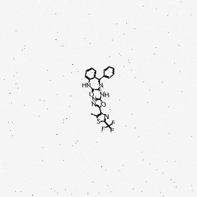 Cc1sc(C(F)(F)F)nc1-c1nnc(N[C@H]2N=C(c3ccccc3)c3ccccc3NC2=O)o1